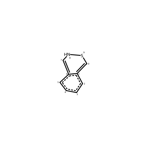 [C]1=c2ccccc2=CNS1